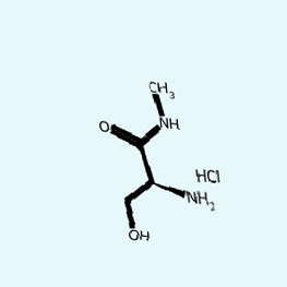 CNC(=O)[C@@H](N)CO.Cl